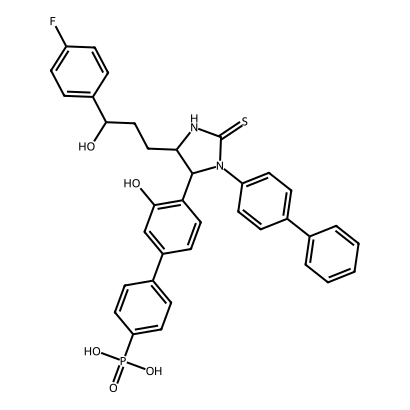 O=P(O)(O)c1ccc(-c2ccc(C3C(CCC(O)c4ccc(F)cc4)NC(=S)N3c3ccc(-c4ccccc4)cc3)c(O)c2)cc1